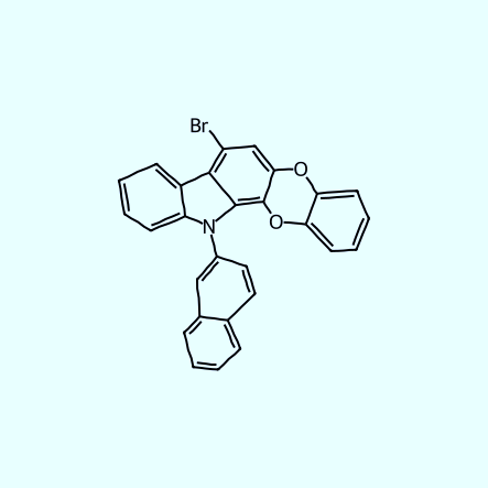 Brc1cc2c(c3c1c1ccccc1n3-c1ccc3ccccc3c1)Oc1ccccc1O2